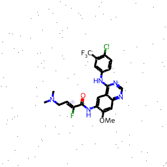 COc1cc2ncnc(Nc3ccc(Cl)c(C(F)(F)F)c3)c2cc1NC(=O)/C(F)=C/CN(C)C